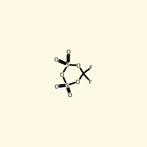 O=S1(=O)OC(F)(F)OS(=O)(=O)O1